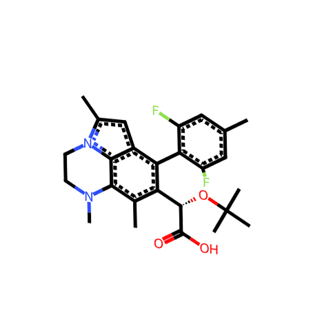 Cc1cc(F)c(-c2c([C@H](OC(C)(C)C)C(=O)O)c(C)c3c4c2cc(C)n4CCN3C)c(F)c1